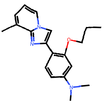 CCCOc1cc(N(C)C)ccc1-c1cn2cccc(C)c2n1